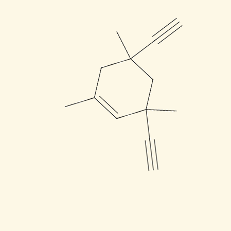 C#CC1(C)C=C(C)CC(C)(C#C)C1